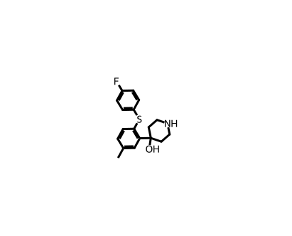 Cc1ccc(Sc2ccc(F)cc2)c(C2(O)CCNCC2)c1